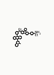 CCC(N)c1ccc(-c2ccc3c(c2)C2(CCCC2)c2cc(C(CC)c4cccc(-c5c6ccccc6c(C6=CC(C)C7C=CC=CC7=C6)c6ccccc56)c4)ccc2-3)cc1